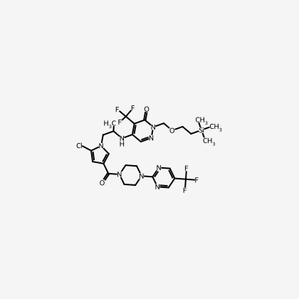 CC(Cn1cc(C(=O)N2CCN(c3ncc(C(F)(F)F)cn3)CC2)cc1Cl)Nc1cnn(COCC[Si](C)(C)C)c(=O)c1C(F)(F)F